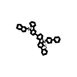 c1ccc(-c2ccc(-n3c4ccc(-c5ccc6c(c5)c5ccccc5n6-c5ccc6ccccc6c5)cc4c4ccc5c6ccccc6sc5c43)cc2)cc1